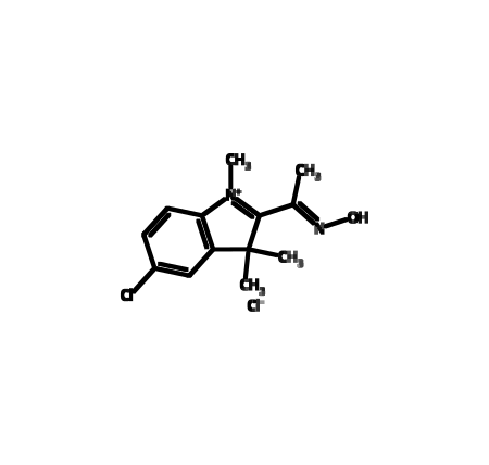 CC(=NO)C1=[N+](C)c2ccc(Cl)cc2C1(C)C.[Cl-]